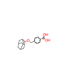 OB(O)c1ccc(COC2C3CC4CC(C3)CC2C4)cc1